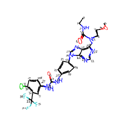 CCNC(=O)N(CCOC)c1ncnc2c1ncn2-c1ccc(NC(=O)Nc2ccc(Cl)c(C(F)(F)F)c2)cc1